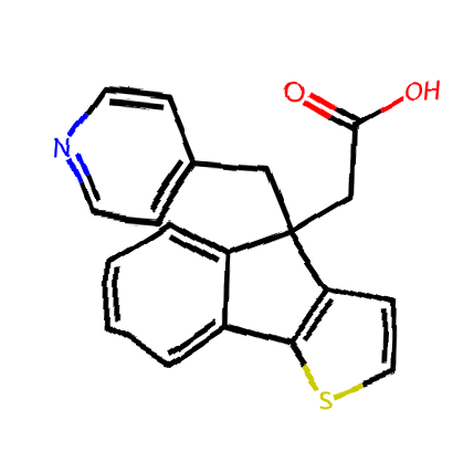 O=C(O)CC1(Cc2ccncc2)c2ccccc2-c2sccc21